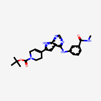 CNC(=O)c1cccc(Nc2ncnc3[nH]c(C4=CCN(C(=O)OC(C)(C)C)CC4)cc23)c1